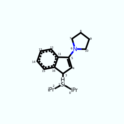 CC(C)[SiH](C(C)C)C1C=C(N2CCCC2)c2ccccc21